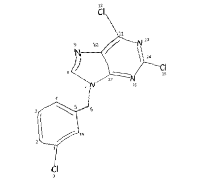 Clc1cccc(Cn2cnc3c(Cl)nc(Cl)nc32)c1